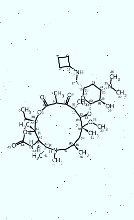 CC[C@H]1OC(=O)C(C)C(=O)[C@H](C)[C@@H](O[C@@H]2O[C@H](CNC3CCC3)C[C@H](N(C)C)[C@H]2O)[C@](C)(OC)C[C@@H](C)CN(C)[C@H](C)[C@H]2NC(=O)O[C@@]21C